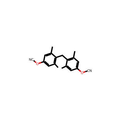 Cc1cc(OC#N)cc(C)c1Cc1c(C)cc(OC#N)cc1C